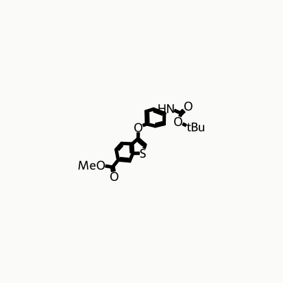 COC(=O)c1ccc2c(Oc3ccc(NC(=O)OC(C)(C)C)cc3)csc2c1